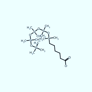 C[Si](C)(C)O[Si](C)(C)O[Si](C)(C)O[Si](C)(C)O[Si](C)(C)CCCCCC([O])=O